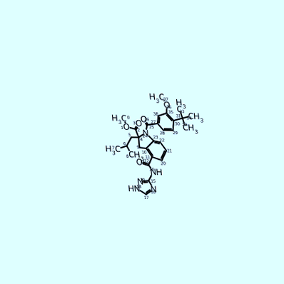 COC(=O)C1(CC(C)C)Cc2c(C(=O)Nc3nc[nH]n3)cccc2N1C(=O)c1ccc(C(C)(C)C)c(OC)c1